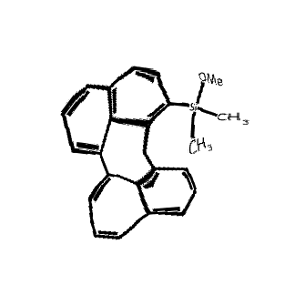 CO[Si](C)(C)c1ccc2cccc3c4cccc5cccc(c1c23)c54